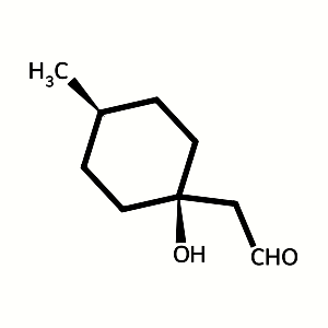 C[C@H]1CC[C@](O)(CC=O)CC1